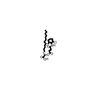 CCCCCCCCCCCCSCC(=O)O.O=C(O)C=CC(=O)Nc1c(Cl)cccc1Cl